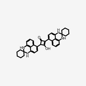 O=C1C(c2ccc3c4c(cccc24)NC2(CCCCC2)N3)=C(O)C1c1ccc2c3c(cccc13)NC1(CCCCC1)N2